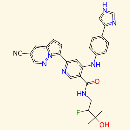 CC(C)(O)C(F)CNC(=O)c1cnc(-c2ccc3cc(C#N)cnn23)cc1Nc1ccc(-c2c[nH]cn2)cc1